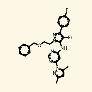 CCc1c(-c2ccc(F)cc2)nn(CCOCc2ccccc2)c1Nc1cc(-n2nc(C)cc2C)ncn1